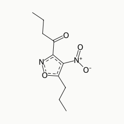 CCCC(=O)c1noc(CCC)c1[N+](=O)[O-]